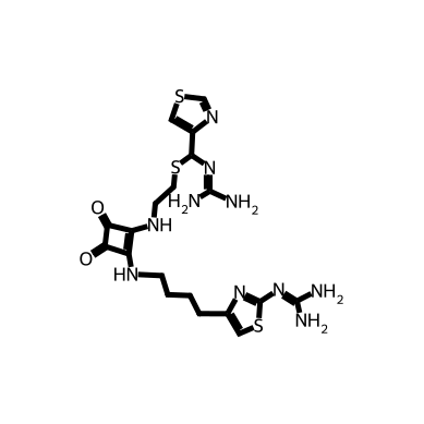 NC(N)=Nc1nc(CCCCNc2c(NCCSC(N=C(N)N)c3cscn3)c(=O)c2=O)cs1